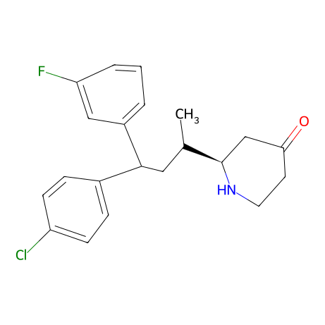 CC(CC(c1ccc(Cl)cc1)c1cccc(F)c1)[C@H]1CC(=O)CCN1